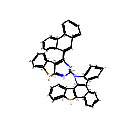 c1ccc2c(c1)cc(-c1nc(-n3c4ccccc4c4c5ccccc5c5sc6ccccc6c5c43)nc3sc4ccccc4c13)c1ccccc12